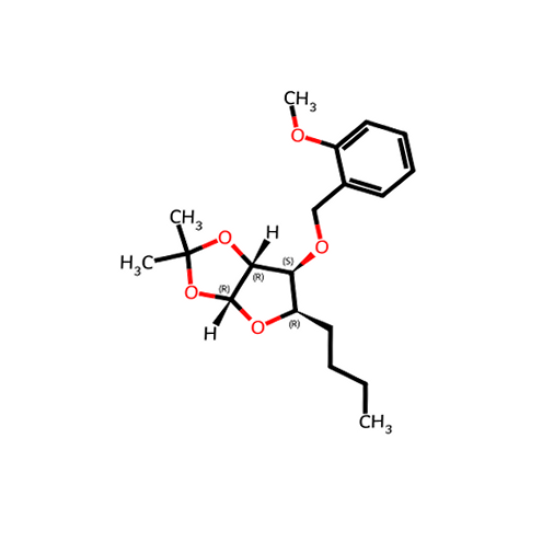 CCCC[C@H]1O[C@@H]2OC(C)(C)O[C@@H]2[C@H]1OCc1ccccc1OC